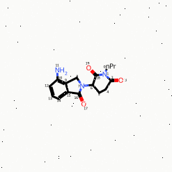 CCCN1C(=O)CCC(N2Cc3c(N)cccc3C2=O)C1=O